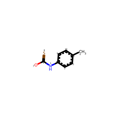 Cc1ccc(NC([O])=S)cc1